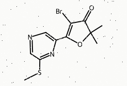 CSc1cncc(C2=C(Br)C(=O)C(C)(C)O2)n1